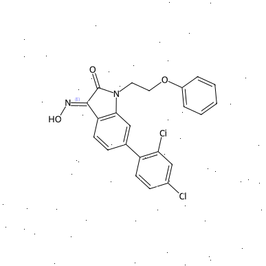 O=C1/C(=N/O)c2ccc(-c3ccc(Cl)cc3Cl)cc2N1CCOc1ccccc1